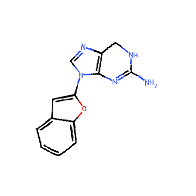 NC1=Nc2c(ncn2-c2cc3ccccc3o2)CN1